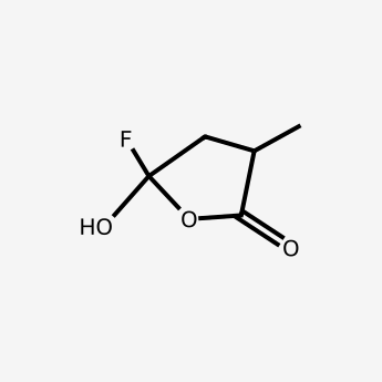 CC1CC(O)(F)OC1=O